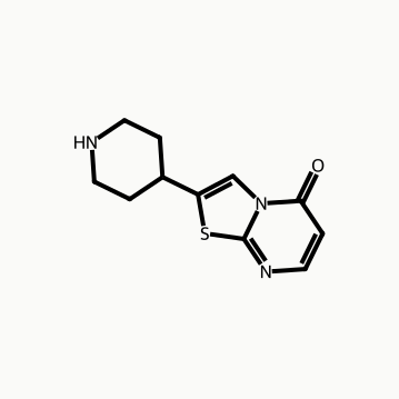 O=c1ccnc2sc(C3CCNCC3)cn12